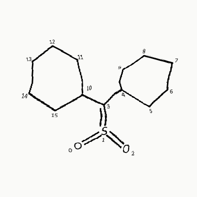 O=S(=O)=C(C1CCCCC1)C1CCCCC1